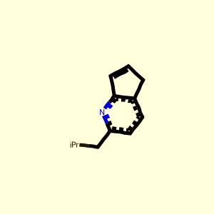 CC(C)Cc1ccc2c(n1)C=CC2